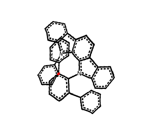 c1ccc(-c2cccc(-c3ccccc3)c2-n2c3ccccc3c3ccc4c5ccccc5n(-c5ccccc5)c4c32)cc1